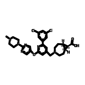 CN1CCN(c2ncc(Oc3cc(CN4CC[C@@H]5[C@H](CC4)[C@@H]5C(=O)O)cc(-c4cc(Cl)cc(Cl)c4)n3)cn2)CC1